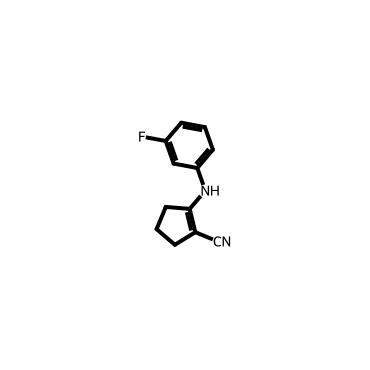 N#CC1=C(Nc2cccc(F)c2)CCC1